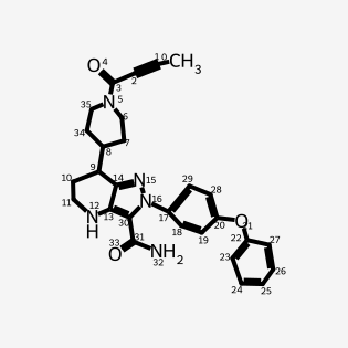 CC#CC(=O)N1CCC(C2CCNc3c2nn(-c2ccc(Oc4ccccc4)cc2)c3C(N)=O)CC1